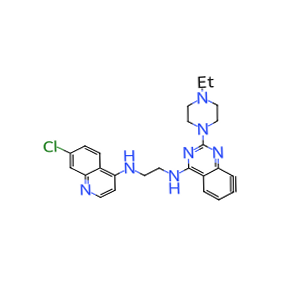 CCN1CCN(c2nc(NCCNc3ccnc4cc(Cl)ccc34)c3ccc#cc3n2)CC1